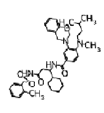 Cc1ccccc1S(=O)(=O)NC(=O)CC(NC(=O)c1ccc(N(C)CCC(C)C)c(N2COc3ccccc3C2)c1)C1CCCCC1